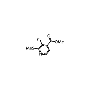 COC(=O)c1ccnc(SC)c1Cl